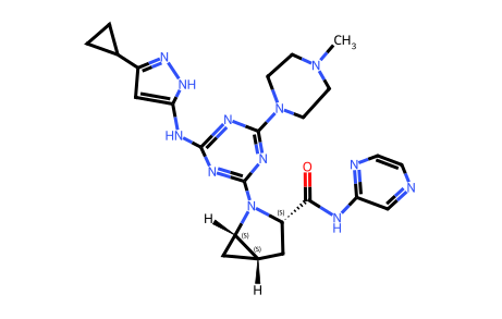 CN1CCN(c2nc(Nc3cc(C4CC4)n[nH]3)nc(N3[C@H](C(=O)Nc4cnccn4)C[C@@H]4C[C@@H]43)n2)CC1